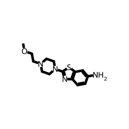 COCCN1CCN(c2nc3ccc(N)cc3s2)CC1